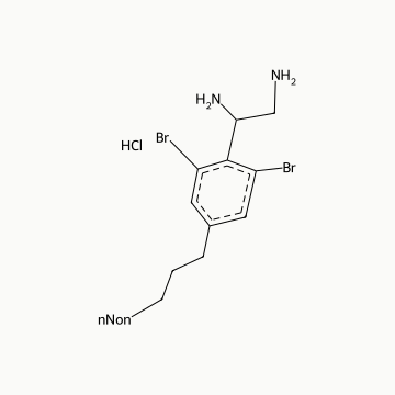 CCCCCCCCCCCCc1cc(Br)c(C(N)CN)c(Br)c1.Cl